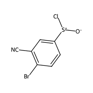 N#Cc1cc([S+]([O-])Cl)ccc1Br